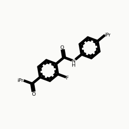 CC(C)C(=O)c1ccc(C(=O)Nc2ccc(C(C)C)cc2)c(F)c1